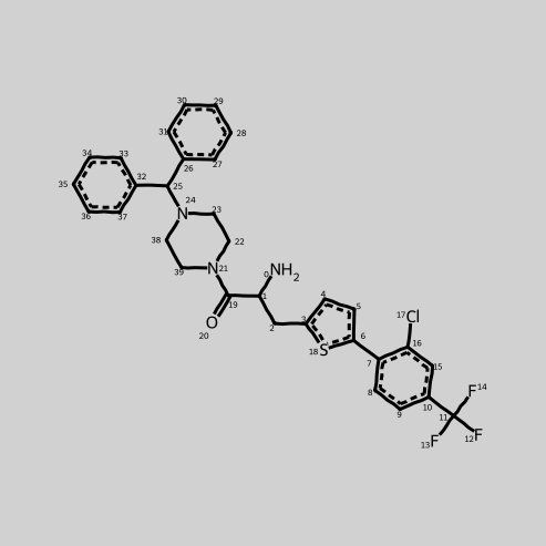 NC(Cc1ccc(-c2ccc(C(F)(F)F)cc2Cl)s1)C(=O)N1CCN(C(c2ccccc2)c2ccccc2)CC1